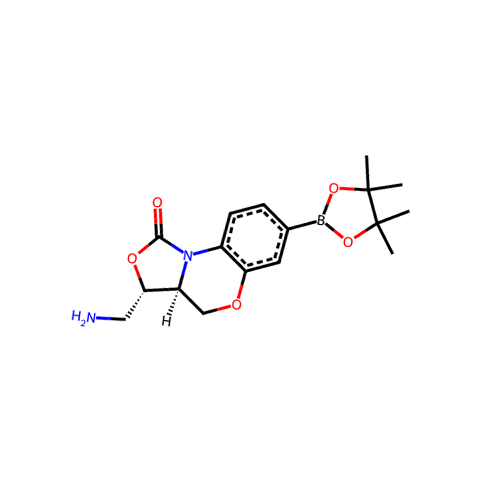 CC1(C)OB(c2ccc3c(c2)OC[C@H]2[C@H](CN)OC(=O)N32)OC1(C)C